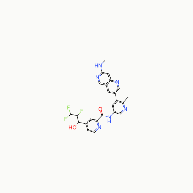 CNc1cc2ncc(-c3cc(NC(=O)c4cc(C(O)C(F)C(F)F)ccn4)cnc3C)cc2cn1